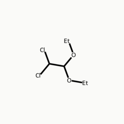 CCOC(OCC)C(Cl)Cl